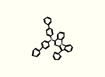 c1ccc(-c2ccc(N(c3ccc(-c4ccccc4)cc3)c3cc4c(-c5ccccc5)c5ccccc5n4c4ccccc34)cc2)cc1